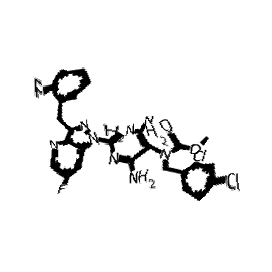 C=C(/N=C(/N)C(=C(N)N)N(Cc1ccc(Cl)cc1Cl)C(=O)OC)n1nc(Cc2ccccc2F)c2ncc(F)cc21